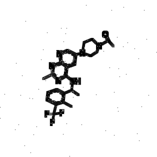 CC(=O)N1CCN(c2cnc3nc(C)nc(NC(C)c4cccc(C(F)(F)F)c4C)c3c2)CC1